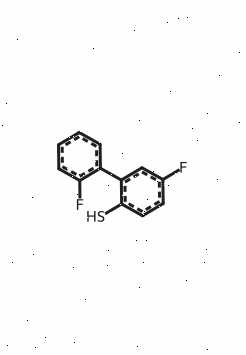 Fc1ccc(S)c(-c2ccccc2F)c1